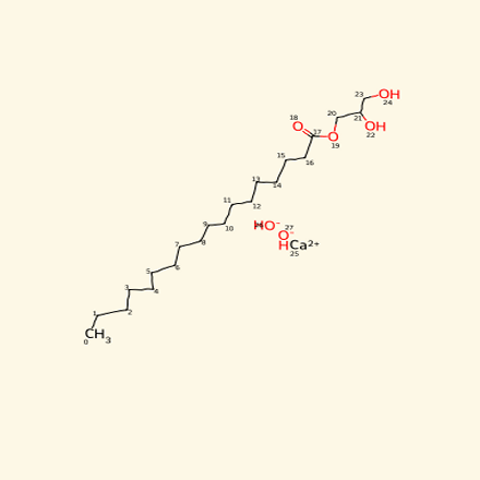 CCCCCCCCCCCCCCCCCC(=O)OCC(O)CO.[Ca+2].[OH-].[OH-]